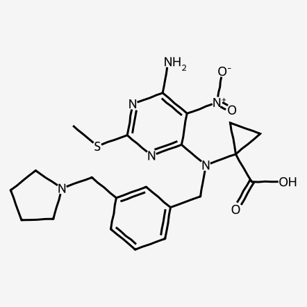 CSc1nc(N)c([N+](=O)[O-])c(N(Cc2cccc(CN3CCCC3)c2)C2(C(=O)O)CC2)n1